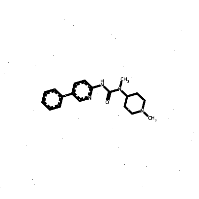 CN1CCC(N(C)C(=O)Nc2ccc(-c3ccccc3)cn2)CC1